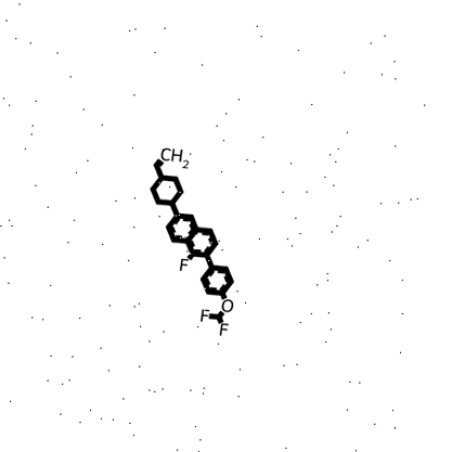 C=CC1CCC(c2ccc3c(F)c(-c4ccc(OC(F)F)cc4)ccc3c2)CC1